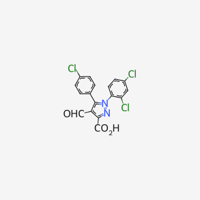 O=Cc1c(C(=O)O)nn(-c2ccc(Cl)cc2Cl)c1-c1ccc(Cl)cc1